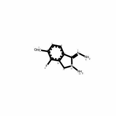 N/N=C1/c2ccc(C=O)c(F)c2CN1N